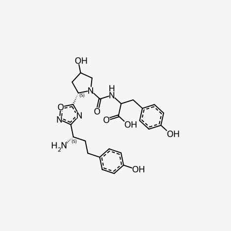 N[C@@H](CCc1ccc(O)cc1)c1noc([C@@H]2CC(O)CN2C(=O)NC(Cc2ccc(O)cc2)C(=O)O)n1